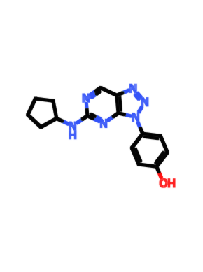 Oc1ccc(-n2nnc3cnc(NC4CCCC4)nc32)cc1